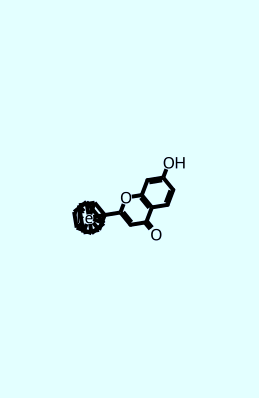 O=c1cc([C]23[CH]4[CH]5[CH]6[CH]2[Fe]56432789[CH]3[CH]2[CH]7[CH]8[CH]39)oc2cc(O)ccc12